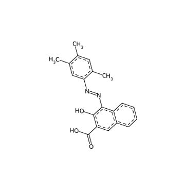 Cc1cc(C)c(/N=N/c2c(O)c(C(=O)O)cc3ccccc23)cc1C